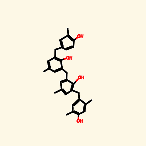 Cc1cc(Cc2ccc(O)c(C)c2)c(O)c(Cc2cc(C)cc(Cc3cc(C)c(O)cc3C)c2O)c1